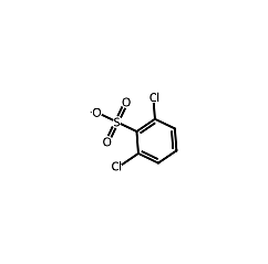 [O]S(=O)(=O)c1c(Cl)cccc1Cl